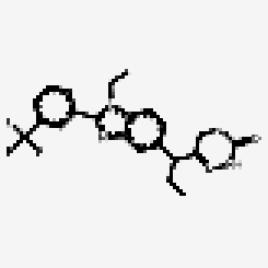 CCC(C1=NNC(=O)SC1)c1ccc2c(c1)nc(-c1cccc(C(F)(F)F)c1)n2CC